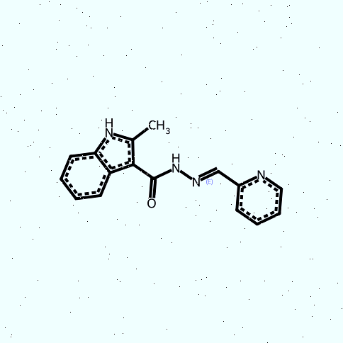 Cc1[nH]c2ccccc2c1C(=O)N/N=C/c1ccccn1